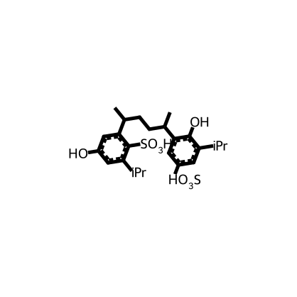 CC(C)c1cc(S(=O)(=O)O)cc(C(C)CCC(C)c2cc(O)cc(C(C)C)c2S(=O)(=O)O)c1O